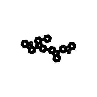 c1ccc(-c2cccc3c2c2cc(-c4ccc5c(c4)c4ccccc4n5-c4ccc5c(c4)sc4ccccc45)ccc2n3-c2cccc3c2oc2ccccc23)cc1